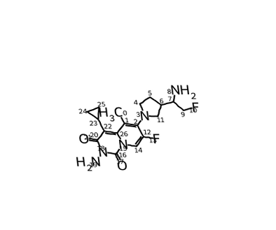 Cc1c(N2CCC(C(N)CF)C2)c(F)cn2c(=O)n(N)c(=O)c(C3CC3)c12